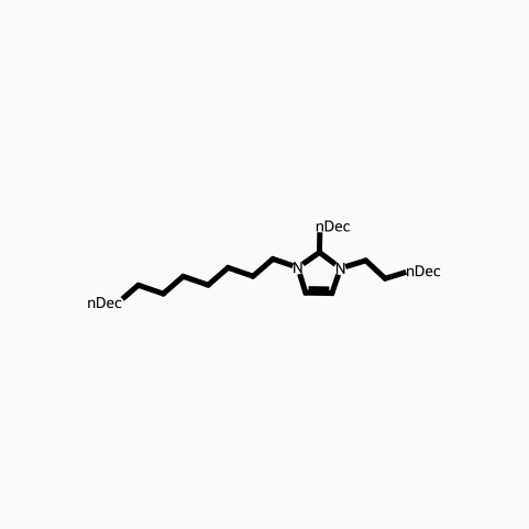 CCCCCCCCCCCCCCCCCN1C=CN(CCCCCCCCCCCC)C1CCCCCCCCCC